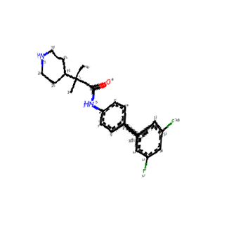 CC(C)(C(=O)Nc1ccc(-c2cc(F)cc(F)c2)cc1)C1CCNCC1